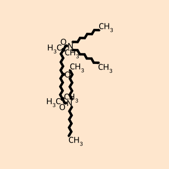 CCCCCCCCCN(CCCCCCCCC)C(=O)C(C)(C)CCCCCC(=O)CCCCCC(C)(C)C(=O)N(CCCCCCCCC)CCCCCCCCC